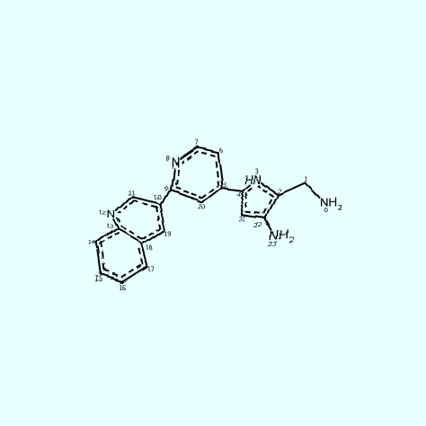 NCc1[nH]c(-c2ccnc(-c3cnc4ccccc4c3)c2)cc1N